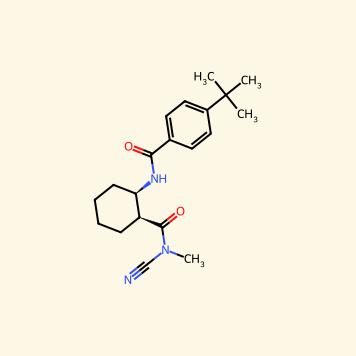 CN(C#N)C(=O)[C@H]1CCCC[C@H]1NC(=O)c1ccc(C(C)(C)C)cc1